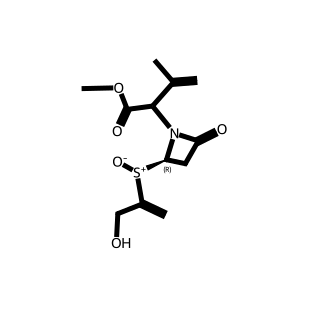 C=C(C)C(C(=O)OC)N1C(=O)C[C@H]1[S+]([O-])C(=C)CO